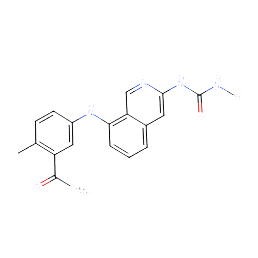 CCNC(=O)Nc1cc2cccc(Nc3ccc(C)c(C(=O)OC)c3)c2cn1